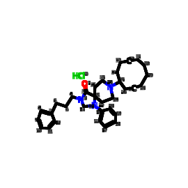 Cl.O=C1N(CCCc2ccccc2)CN(c2ccccc2)C12CCN(C1CCCCCCCCC1)CC2